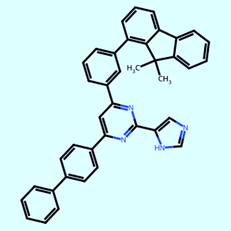 CC1(C)c2ccccc2-c2cccc(-c3cccc(-c4cc(-c5ccc(-c6ccccc6)cc5)nc(-c5cnc[nH]5)n4)c3)c21